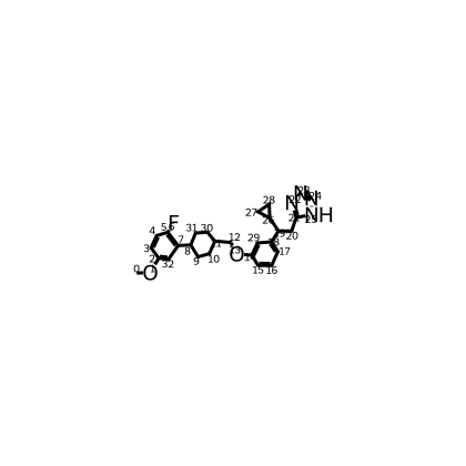 COc1ccc(F)c(C2CCC(COc3cccc(C(Cc4nnn[nH]4)C4CC4)c3)CC2)c1